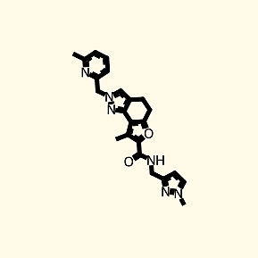 Cc1cccc(Cn2cc3c(n2)-c2c(oc(C(=O)NCc4ccn(C)n4)c2C)CC3)n1